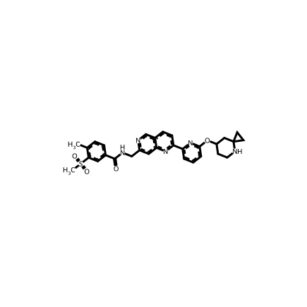 Cc1ccc(C(=O)NCc2cc3nc(-c4cccc(OC5CCNC6(CC6)C5)n4)ccc3cn2)cc1S(C)(=O)=O